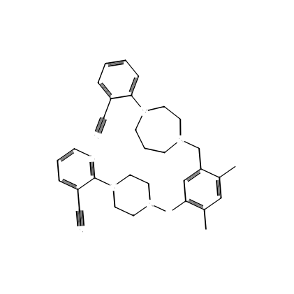 Cc1cc(C)c(SN2CCN(c3ncccc3C#N)CC2)cc1CN1CCCN(c2ccccc2C#N)CC1